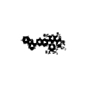 Cc1nc(C)c([C@H](OC(C)(C)C)C(=O)O)c(N2CCC(C)(C)CC2)c1-c1ccc2c(c1)CCN(c1ncnc3c1sc1ccccc13)C2